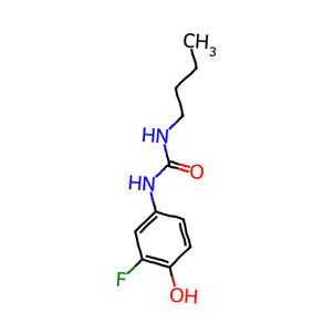 CCCCNC(=O)Nc1ccc(O)c(F)c1